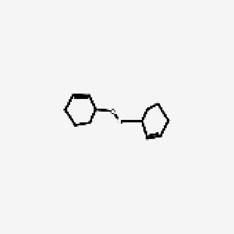 C1=CC(OOC2C=CCCC2)CCC1